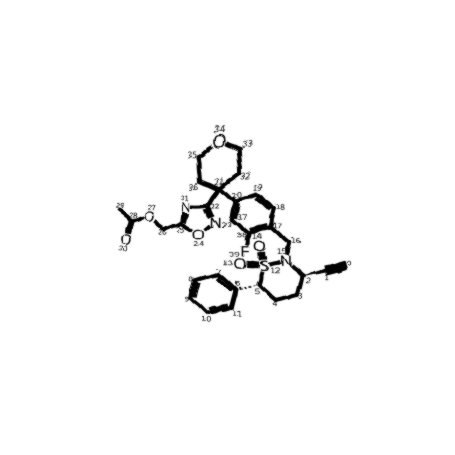 C#C[C@H]1CC[C@H](c2ccccc2)S(=O)(=O)N1Cc1ccc(C2(c3noc(COC(C)=O)n3)CCOCC2)cc1F